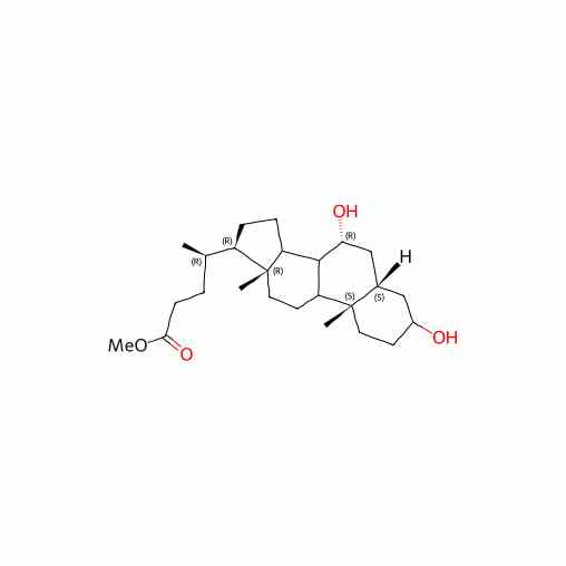 COC(=O)CC[C@@H](C)[C@H]1CCC2C3C(CC[C@@]21C)[C@@]1(C)CCC(O)C[C@H]1C[C@H]3O